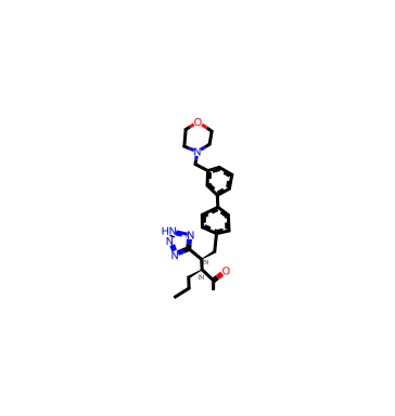 CCC[C@H](C(C)=O)[C@H](Cc1ccc(-c2cccc(CN3CCOCC3)c2)cc1)c1nn[nH]n1